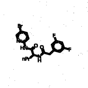 CCCC(NC(=O)Cc1cc(F)cc(F)c1)C(=O)Nc1ccc(Br)cn1